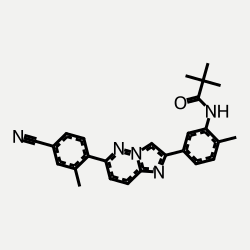 Cc1ccc(-c2cn3nc(-c4ccc(C#N)cc4C)ccc3n2)cc1NC(=O)C(C)(C)C